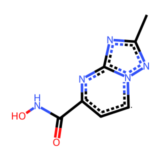 Cc1nc2nc(C(=O)NO)c[c]n2n1